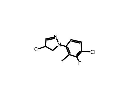 Cc1c(N2CC(Cl)C=N2)ccc(Cl)c1F